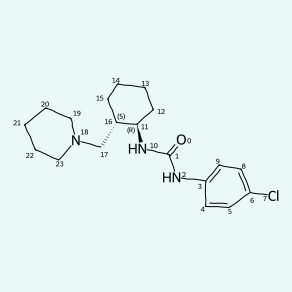 O=C(Nc1ccc(Cl)cc1)N[C@@H]1CCCC[C@H]1CN1CCCCC1